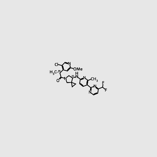 COc1cc([C@@H](C)C(=O)N2C[C@@H](Nc3ccc(-c4nccc(C(F)F)n4)c(C)n3)C3(CC3)C2)c(Cl)cn1